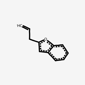 [CH]=CCc1cc2ccccc2o1